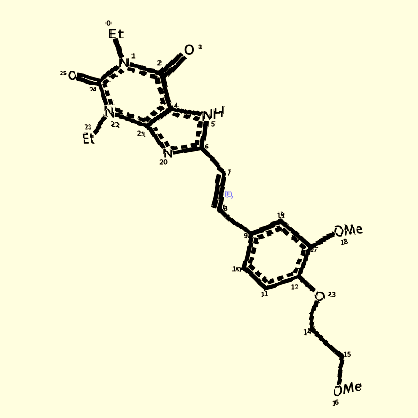 CCn1c(=O)c2[nH]c(/C=C/c3ccc(OCCOC)c(OC)c3)nc2n(CC)c1=O